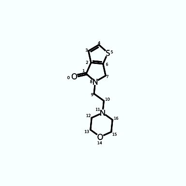 O=C1c2ccsc2CN1CCN1CCOCC1